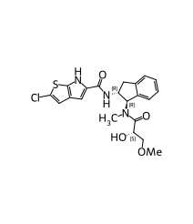 COC[C@H](O)C(=O)N(C)[C@@H]1c2ccccc2C[C@H]1NC(=O)c1cc2cc(Cl)sc2[nH]1